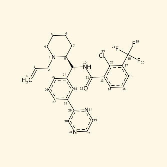 C=CCN1CCCC[C@H]1C(NC(=O)c1cccc(C(F)(F)F)c1Cl)c1cccc(-c2cnccn2)c1